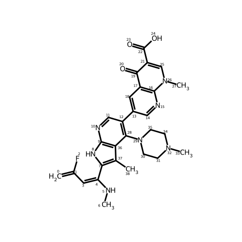 C=C(F)/C=C(/NC)c1[nH]c2ncc(-c3cnc4c(c3)c(=O)c(C(=O)O)cn4C)c(N3CCN(C)CC3)c2c1C